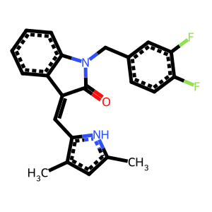 Cc1cc(C)c(/C=C2\C(=O)N(Cc3ccc(F)c(F)c3)c3ccccc32)[nH]1